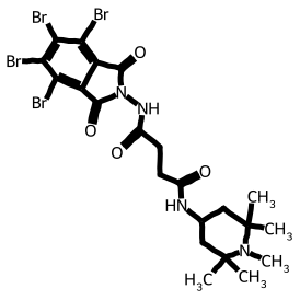 CN1C(C)(C)CC(NC(=O)CCC(=O)NN2C(=O)c3c(Br)c(Br)c(Br)c(Br)c3C2=O)CC1(C)C